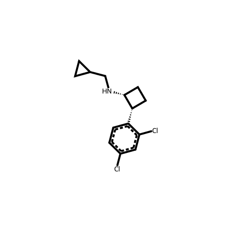 Clc1ccc([C@H]2CC[C@H]2NCC2CC2)c(Cl)c1